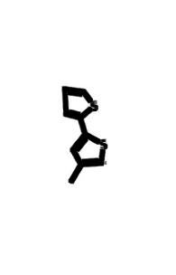 Cc1[c]sc(-c2cccs2)c1